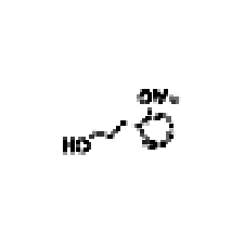 COc1ccc#cc1CCCO